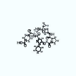 O=C(N[C@@H](CCNC(=O)C1CC1)C(=O)N1CCN(C(=O)O)CC1)c1cc(OCC(=O)N2CCC[C@H]2C(=O)NC2CCC2)n(-c2ccccc2)n1